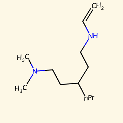 C=CNCCC(CCC)CCN(C)C